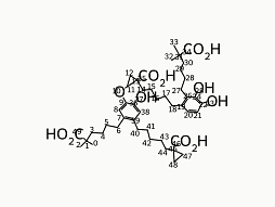 CC(C)(CCCCc1cc(OC2CC2(CCCCCc2ccc(O)c(O)c2CCCCC(C)(C)C(=O)O)C(=O)O)c(O)cc1CCCCCC1(C(=O)O)CC1)C(=O)O